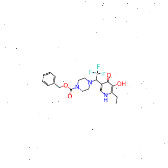 CCc1[nH]cc(C(N2CCN(C(=O)OCc3ccccc3)CC2)C(F)(F)F)c(=O)c1O